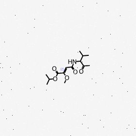 CO/C(=C\C(=O)NC(C(C)=O)C(C)C)C(=O)OC(C)C